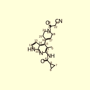 Cc1c(NC(=O)C2CC2)nc2[nH]ccc2c1C1=CCN(C(=O)CC#N)CC1